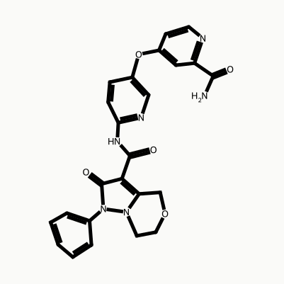 NC(=O)c1cc(Oc2ccc(NC(=O)c3c4n(n(-c5ccccc5)c3=O)CCOC4)nc2)ccn1